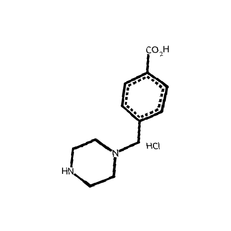 Cl.O=C(O)c1ccc(CN2CCNCC2)cc1